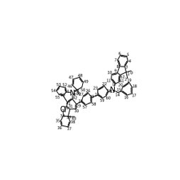 CC1(C)c2ccccc2-c2ccc(N(Cc3ccccc3)c3ccc(-c4ccc(C5=CC6C(OC7C=CC=CC76C)c6c5n(C5(C)C=CC=CC5)c5ccccc65)cc4)cc3)cc21